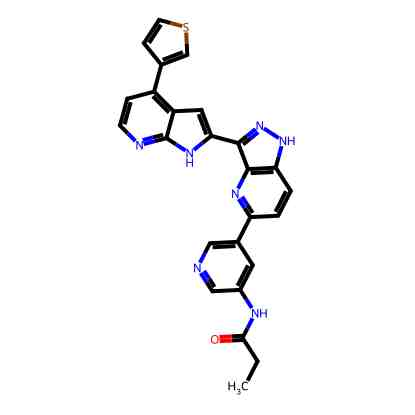 CCC(=O)Nc1cncc(-c2ccc3[nH]nc(-c4cc5c(-c6ccsc6)ccnc5[nH]4)c3n2)c1